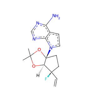 C=C[C@@]1(F)CC[C@@]2(n3ccc4c(N)ncnc43)OC(C)(C)O[C@H]12